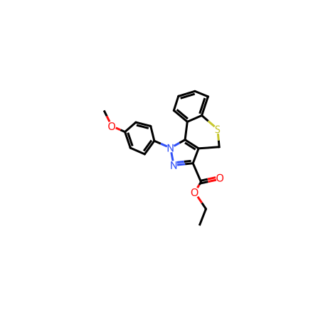 CCOC(=O)c1nn(-c2ccc(OC)cc2)c2c1CSc1ccccc1-2